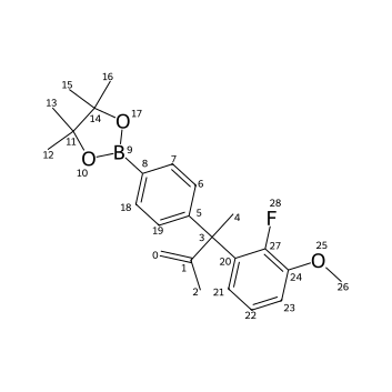 C=C(C)C(C)(c1ccc(B2OC(C)(C)C(C)(C)O2)cc1)c1cccc(OC)c1F